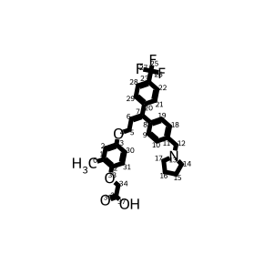 Cc1cc(OC/C=C(\c2ccc(CN3CCCC3)cc2)c2ccc(C(F)(F)F)cc2)ccc1OCC(=O)O